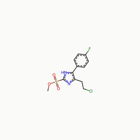 COS(=O)(=O)c1nc(CCCl)c(-c2ccc(F)cc2)[nH]1